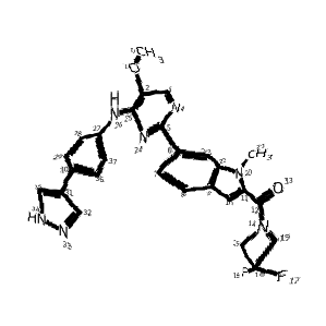 COc1cnc(-c2ccc3cc(C(=O)N4CC(F)(F)C4)n(C)c3c2)nc1Nc1ccc(-c2cn[nH]c2)cc1